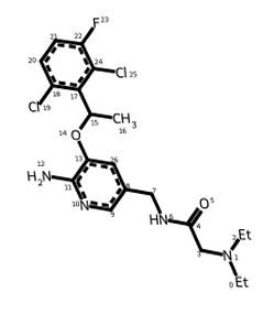 CCN(CC)CC(=O)NCc1cnc(N)c(OC(C)c2c(Cl)ccc(F)c2Cl)c1